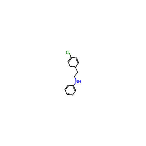 Clc1ccc(CCNc2[c]cccc2)cc1